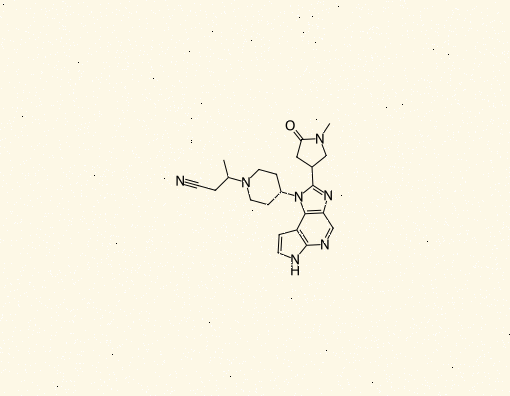 CC(CC#N)N1CCC(n2c(C3CC(=O)N(C)C3)nc3cnc4[nH]ccc4c32)CC1